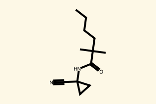 CCCCC(C)(C)C(=O)NC1(C#N)CC1